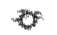 CC[C@H](C)[C@@H]1NC(=O)[C@H](C(C)C)NC(=O)[C@H](CC(C)C)NC(=O)[C@H](CC(C)C)NC(=O)[C@H](Cc2ccccc2)NC(=O)CSC[C@@H](C(=O)NCC(N)=O)NC(=O)[C@H](CCCNC(N)N)NC(=O)[C@H](Cc2ccccc2)NC(=O)[C@H](C(C)C)NC(=O)[C@H](CCCNC(=N)N)NC(=O)[C@H](CC(=O)O)NC(=O)[C@H](CCCNC(=N)N)NC1=O